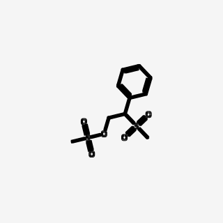 CS(=O)(=O)OCC(c1ccccc1)S(C)(=O)=O